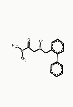 CN(C)C(=O)C[S+]([O-])Cc1ccccc1-c1ccccc1